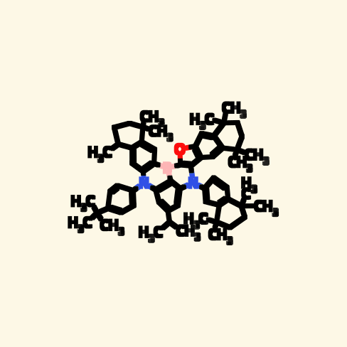 CC(C)c1cc2c3c(c1)N(c1ccc4c(c1)C(C)(C)CCC4(C)C)c1c(oc4cc5c(cc14)C(C)(C)CCC5(C)C)B3c1cc3c(cc1N2c1ccc(C(C)(C)C)cc1)C(C)CCC3(C)C